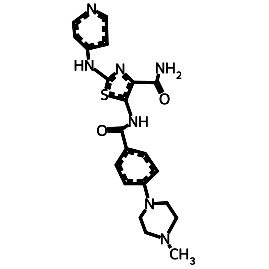 CN1CCN(c2ccc(C(=O)Nc3sc(Nc4ccncc4)nc3C(N)=O)cc2)CC1